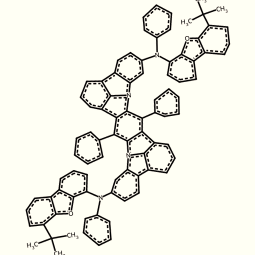 CC(C)(C)c1cccc2c1oc1c(N(c3ccccc3)c3ccc4c5cccc6c7c(-c8ccccc8)c8c(c(-c9ccccc9)c7n(c4c3)c56)c3cccc4c5ccc(N(c6ccccc6)c6cccc7c6oc6c(C(C)(C)C)cccc67)cc5n8c43)cccc12